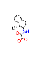 O=C([O-])C(=O)Nc1ccc2ccccc2c1.[Li+]